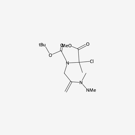 C=C(CN(C(=O)OC(C)(C)C)C(C)(Cl)C(=O)OC)N(C)NC